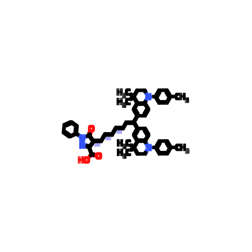 Cc1ccc(N2CCC(C)(C)c3cc(C(=C/C=C/C=C/C=C4\C(=O)N(c5ccccc5)N=C4C(=O)O)c4ccc5c(c4)C(C)(C)CCN5c4ccc(C)cc4)ccc32)cc1